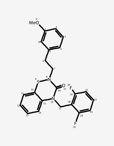 COc1cccc(CCN2Sc3ccccc3N(Cc3c(F)cccc3F)C2=O)c1